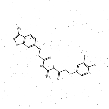 C=C(NC(=O)COc1ccc(Cl)c(F)c1)NC(=O)COc1ccc2c(C)noc2c1